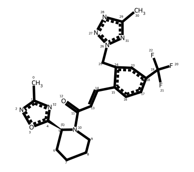 Cc1noc([C@@H]2CCCCN2C(=O)C=Cc2ccc(C(F)(F)F)cc2Cn2nnc(C)n2)n1